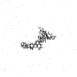 COc1ccc(-n2nc(C(C)(C)C)cc2NC(=O)Nc2ccc(-c3ccc(CN4CCOCC4)nc3)c3ccccc23)cn1